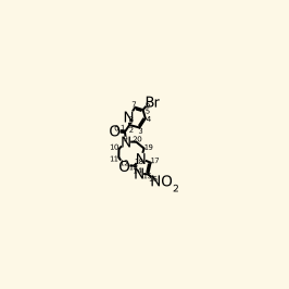 O=C(c1ccc(Br)cn1)N1CCOc2nc([N+](=O)[O-])cn2CC1